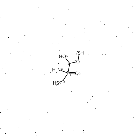 NP(=O)(CS)C(O)OS